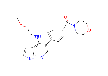 COCCNc1c(-c2ccc(C(=O)N3CCOCC3)cc2)cnc2[nH]ccc12